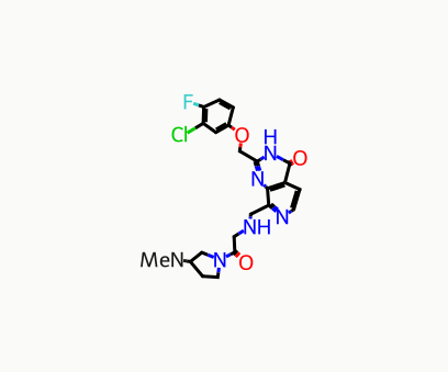 CNC1CCN(C(=O)CNCc2nccc3c(=O)[nH]c(COc4ccc(F)c(Cl)c4)nc23)C1